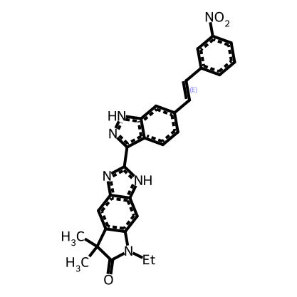 CCN1C(=O)C(C)(C)c2cc3nc(-c4n[nH]c5cc(/C=C/c6cccc([N+](=O)[O-])c6)ccc45)[nH]c3cc21